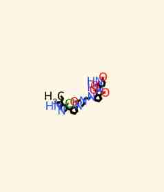 CCc1c[nH]c2ncc(-c3cccc(N4CCN(CCNc5cccc6c5C(=O)N(C5CCC(=O)NC5=O)C6=O)CC4=O)c3)c(Cl)c12